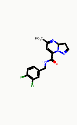 O=C(O)C1=NC2CC=NN2C(C(=O)NCc2ccc(F)c(Cl)c2)=C1